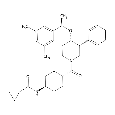 C[C@@H](O[C@H]1CCN(C(=O)[C@H]2CC[C@H](NC(=O)C3CC3)CC2)C[C@H]1c1ccccc1)c1cc(C(F)(F)F)cc(C(F)(F)F)c1